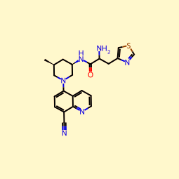 C[C@H]1C[C@@H](NC(=O)C(N)Cc2cscn2)CN(c2ccc(C#N)c3ncccc23)C1